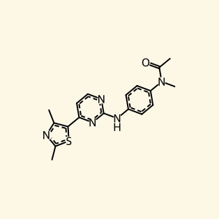 CC(=O)N(C)c1ccc(Nc2nccc(-c3sc(C)nc3C)n2)cc1